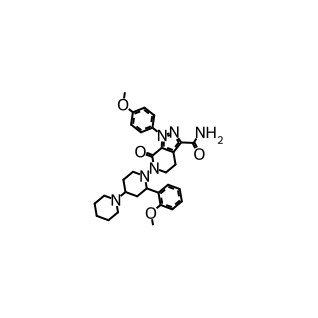 COc1ccc(-n2nc(C(N)=O)c3c2C(=O)N(N2CCC(N4CCCCC4)CC2c2ccccc2OC)CC3)cc1